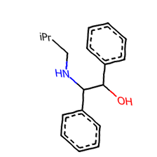 CC(C)CNC(c1ccccc1)C(O)c1ccccc1